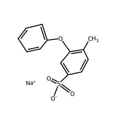 Cc1ccc(S(=O)(=O)[O-])cc1Oc1ccccc1.[Na+]